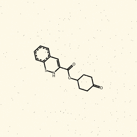 O=C1CCC(OC(=O)C2=Cc3ccccc3SN2)CC1